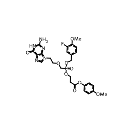 COc1ccc(OC(=O)CCOP(=O)(COCCn2cnc3c(=O)[nH]c(N)nc32)OCc2ccc(OC)c(F)c2)cc1